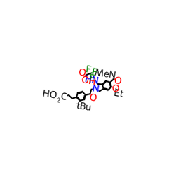 CCOc1cc2c(cc1C(=O)NC)C(=N)N(CC(=O)c1ccc(CCC(=O)O)c(C(C)(C)C)c1)C2.O=C(O)C(F)(F)F